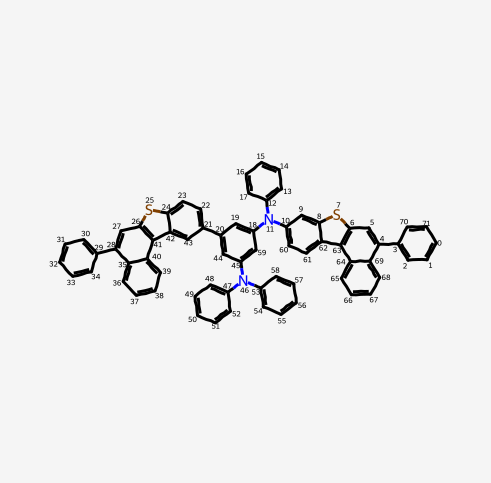 c1ccc(-c2cc3sc4cc(N(c5ccccc5)c5cc(-c6ccc7sc8cc(-c9ccccc9)c9ccccc9c8c7c6)cc(N(c6ccccc6)c6ccccc6)c5)ccc4c3c3ccccc23)cc1